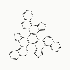 c1ccc2c(c1)ccc1c2c2cscc2c2c1c1c3cscc3c3c4ccccc4ccc3c1c1c3cscc3c3c4ccccc4ccc3c21